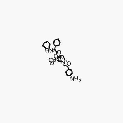 Nc1ccc(C(=O)C[N+]23CCC(CC2)[C@@H](OC(=O)[C@H](Nc2ccccc2)c2ccccc2)C3)cc1.O=C[O-]